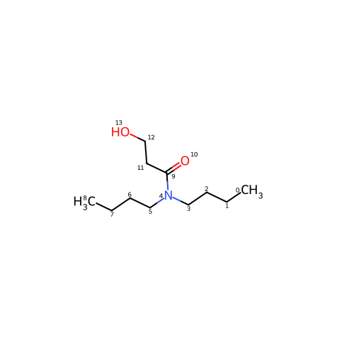 CCCCN(CCCC)C(=O)CCO